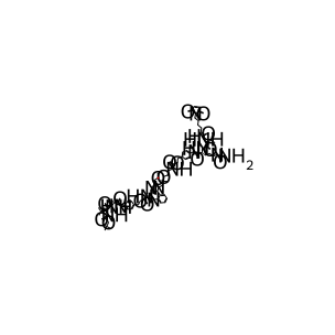 CCOCc1nc2c(NC(=O)OCc3ccc(NC(=O)[C@H](C)NC(=O)[C@@H](NC(=O)OC(C)(C)C)C(C)C)cc3)nc3ccccc3c2n1CC(C)(C)OCCNC(=O)OCc1ccc(NC(=O)[C@H](CCCNC(N)=O)NC(=O)[C@@H](NC(=O)CCCCCN2C(=O)C=CC2=O)C(C)C)cc1